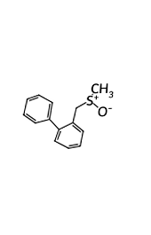 C[S+]([O-])Cc1ccccc1-c1ccccc1